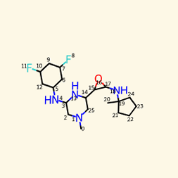 CN1CC(NC2CC(F)CC(F)C2)NC(C2OC2NC2(C)CCCC2)C1